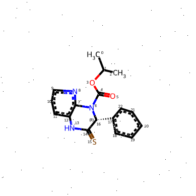 CC(C)OC(=O)N1c2ncccc2NC(=S)[C@H]1c1ccccc1